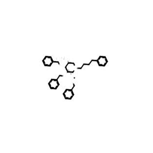 CC(=O)N[C@H]1CN(CCCCc2ccccc2)[C@H](COCc2ccccc2)[C@@H](OCc2ccccc2)[C@@H]1OCc1ccccc1